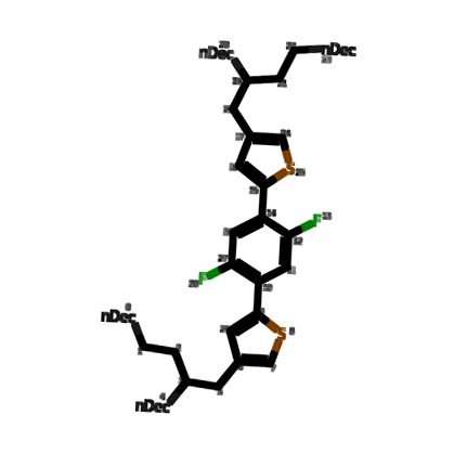 CCCCCCCCCCCCC(CCCCCCCCCC)Cc1csc(-c2cc(F)c(-c3cc(CC(CCCCCCCCCC)CCCCCCCCCCCC)cs3)cc2F)c1